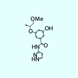 COC[C@H](C)Oc1cc(O)cc(C(=O)Nc2cc[nH]n2)c1